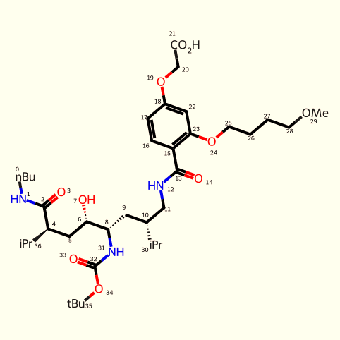 CCCCNC(=O)[C@@H](C[C@H](O)[C@H](C[C@H](CNC(=O)c1ccc(OCC(=O)O)cc1OCCCCOC)C(C)C)NC(=O)OC(C)(C)C)C(C)C